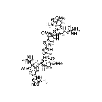 CCCC[C@@H](N)C(=O)Nc1ccc(OC)c(C(=O)NC(CCCNC(C)=N)C(=O)Nc2ccc(OC)c(C(=O)NCC(=O)N[C@H](C)C(=O)NC3=CC=C(OC)C(C(=O)N[C@H](CCCNC(=N)N)C(=O)Nc4ccc(OC)c(C(N)=O)c4)=CC3)c2)c1